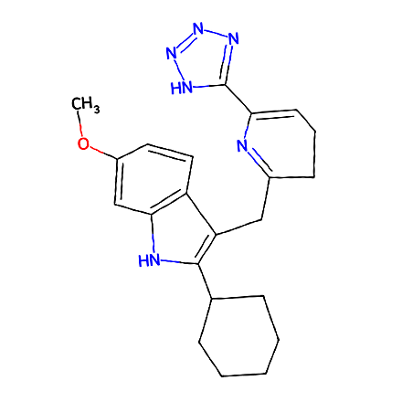 COc1ccc2c(CC3=NC(c4nnn[nH]4)=CCC3)c(C3CCCCC3)[nH]c2c1